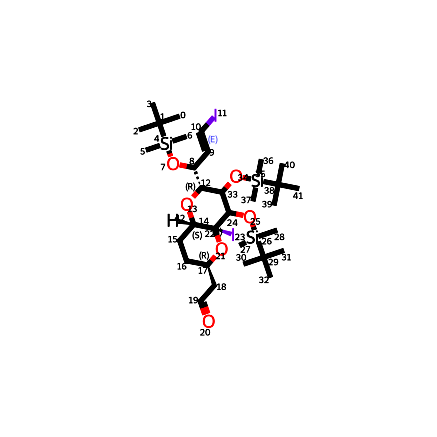 CC(C)(C)[Si](C)(C)OC(/C=C/I)[C@H]1O[C@H]2CC[C@H](CC=O)O[C@@]2(I)C(O[Si](C)(C)C(C)(C)C)C1O[Si](C)(C)C(C)(C)C